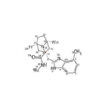 Cc1cccc2[nH]c(C[C@@H]3C[C@H]4CC[C@@H](C3)N4CC(=O)NC(C)(C)C)nc12